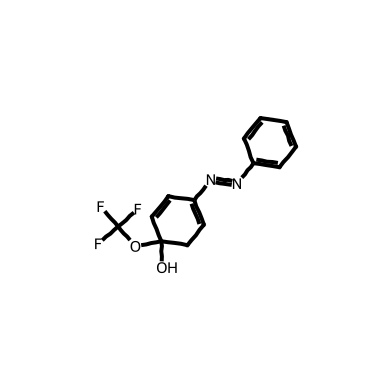 OC1(OC(F)(F)F)C=CC(N=Nc2ccccc2)=CC1